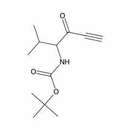 C#CC(=O)C(NC(=O)OC(C)(C)C)C(C)C